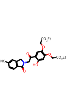 CCOC(=O)COc1cc(O)c(C(=O)CN2Cc3cc(C#N)ccc3C2=O)cc1OCC(=O)OCC